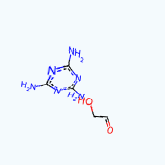 Nc1nc(N)nc(N)n1.O=CCO